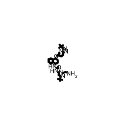 CC(C)(C)c1cc(NC(=O)N[C@H]2CC[C@@H](Oc3ccc4nnc(C(C)(C)C)n4c3)c3ccccc32)nc(CN)n1